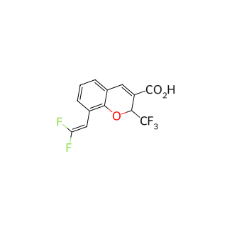 O=C(O)C1=Cc2cccc(C=C(F)F)c2OC1C(F)(F)F